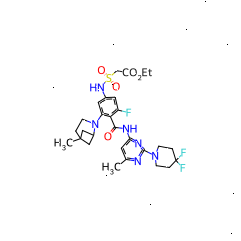 CCOC(=O)CS(=O)(=O)Nc1cc(F)c(C(=O)Nc2cc(C)nc(N3CCC(F)(F)CC3)n2)c(N2CCC3(C)CC2C3)c1